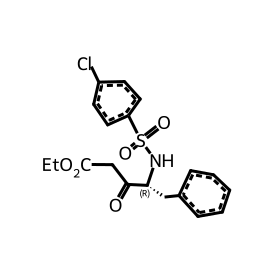 CCOC(=O)CC(=O)[C@@H](Cc1ccccc1)NS(=O)(=O)c1ccc(Cl)cc1